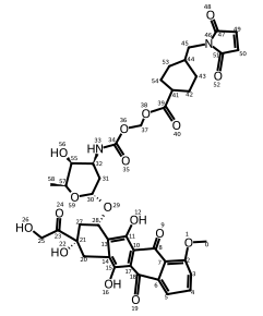 COc1cccc2c1C(=O)c1c(O)c3c(c(O)c1C2=O)C[C@@](O)(C(=O)CO)C[C@@H]3O[C@H]1C[C@H](NC(=O)OCOC(=O)C2CCC(CN3C(=O)C=CC3=O)CC2)[C@H](O)[C@H](C)O1